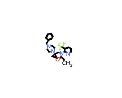 CCC(=O)N(CC1(N2CCN(Cc3ccccc3)CC2)CC1)c1ncccc1C(F)(F)F